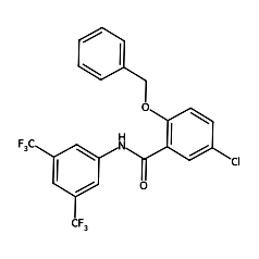 O=C(Nc1cc(C(F)(F)F)cc(C(F)(F)F)c1)c1cc(Cl)ccc1OCc1ccccc1